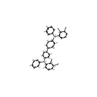 Cc1cccc(N(c2ccccc2)c2ccc(-c3ccc(N(c4ccccc4)c4cccc(C)c4C)cc3)cc2)c1C